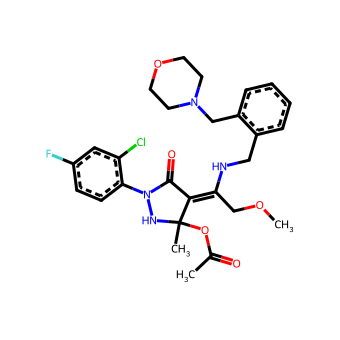 COCC(NCc1ccccc1CN1CCOCC1)=C1C(=O)N(c2ccc(F)cc2Cl)NC1(C)OC(C)=O